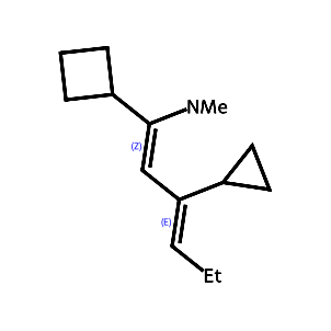 CC/C=C(/C=C(\NC)C1CCC1)C1CC1